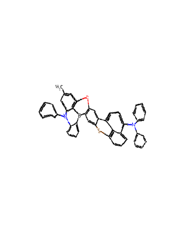 Cc1cc2c3c(c1)N(c1ccccc1)c1ccccc1B3c1cc3c(cc1O2)-c1ccc(N(c2ccccc2)c2ccccc2)c2cccc(c12)S3